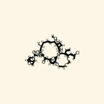 C=C/C1=C(\C=C(/C)Cl)CCCCCOc2ccc3cc2N(C1)C[C@@H]1CC[C@H]1[C@@H](OC)/C=C/C[C@H](C)C[S@@](=O)(NC(=O)N1C2COCC1C2)=NC3=O